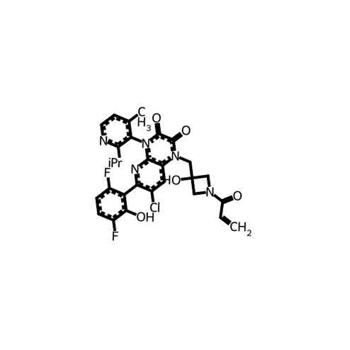 C=CC(=O)N1CC(O)(Cn2c(=O)c(=O)n(-c3c(C)ccnc3C(C)C)c3nc(-c4c(F)ccc(F)c4O)c(Cl)cc32)C1